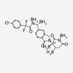 BC(c1ccc2c(c1)CN([C@]1(B)C(=O)N(B)C(=O)CC1B)C2=O)N(B)C(=O)C(F)(F)c1ccc(Cl)cc1